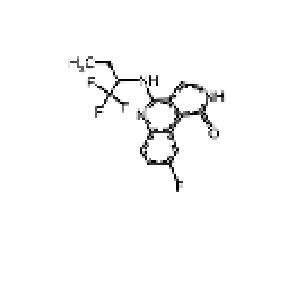 CC[C@@H](Nc1nc2ccc(F)cc2c2c(=O)[nH]ccc12)C(F)(F)F